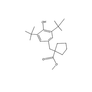 COC(=O)C1(Cc2cc(C(C)(C)C)c(O)c(C(C)(C)C)c2)CCCC1